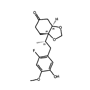 COc1cc(F)c(C[C@H](C)[C@]23CCC(=O)C[C@H]2OCO3)cc1O